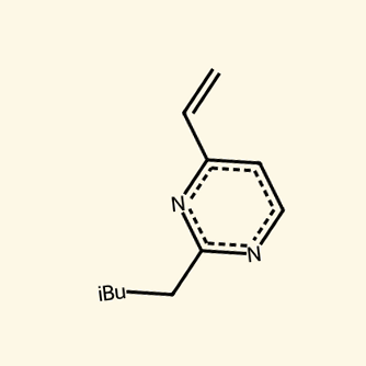 C=Cc1ccnc(CC(C)CC)n1